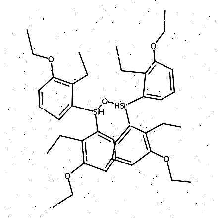 CCOc1cccc([SiH](O[SiH](c2cccc(OCC)c2CC)c2cccc(OCC)c2CC)c2cccc(OCC)c2CC)c1CC